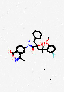 COc1ccc(F)cc1C(C)(C)CC(O)(CC1CCCCC1)C(=O)Nc1ccc2c(=O)onc(C)c2c1